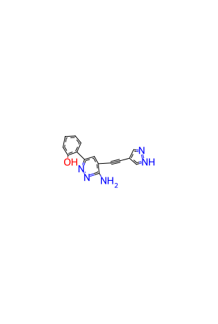 Nc1nnc(-c2ccccc2O)cc1C#Cc1cn[nH]c1